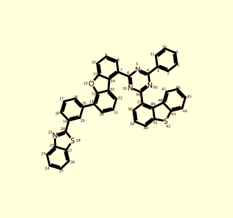 c1ccc(-c2nc(-c3cccc4oc5c(-c6cccc(-c7nc8ccccc8s7)c6)cccc5c34)nc(-c3cccc4sc5ccccc5c34)n2)cc1